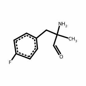 CC(N)(C=O)Cc1ccc(F)cc1